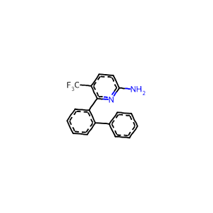 Nc1ccc(C(F)(F)F)c(-c2ccccc2-c2ccccc2)n1